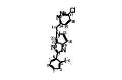 Fc1ccccc1-c1nc2ccn(Cc3ccc(Cl)nn3)cc-2n1